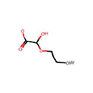 COCCOC(O)C([O])=O